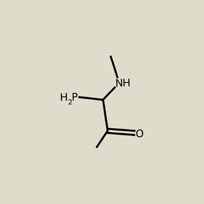 CNC(P)C(C)=O